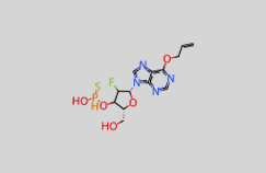 C=CCOc1ncnc2c1ncn2[C@@H]1O[C@H](CO)C(O[PH](O)=S)[C@H]1F